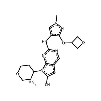 C[C@@H]1COCCC1n1c(C#N)cc2cnc(Nc3cn(C)nc3OC3COC3)nc21